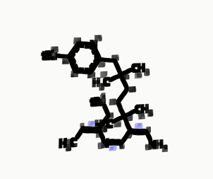 C\C=C(CC(C)(C)C)/N=C\C(=C/N)C(C)(C)CCC(C)(C)Cc1ccc(C(C)(C)C)cn1